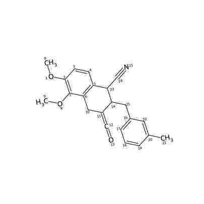 COc1ccc2c(c1OC)CC(=C=O)C(Cc1cccc(C)c1)C2C#N